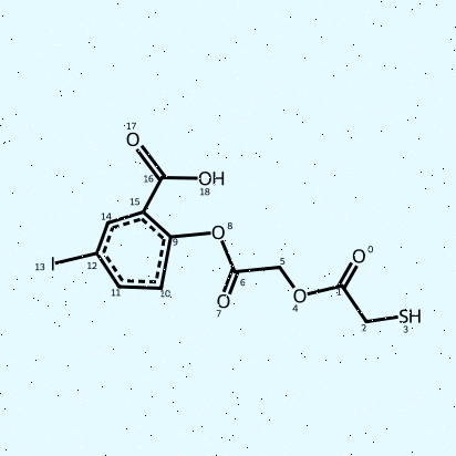 O=C(CS)OCC(=O)Oc1ccc(I)cc1C(=O)O